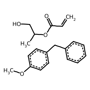 C=CC(=O)OC(C)CO.COc1ccc(Cc2ccccc2)cc1